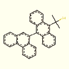 CC(C)(S)c1c2ccccc2c(-c2cc3ccccc3c3ccccc23)c2ccccc12